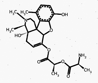 Cc1ccc(O)c2c1C13CCN(C)[C@H](C)[C@]1(O)CC=C(OC(=O)[C@H](C)OC(=O)[C@H](C)N)C3O2